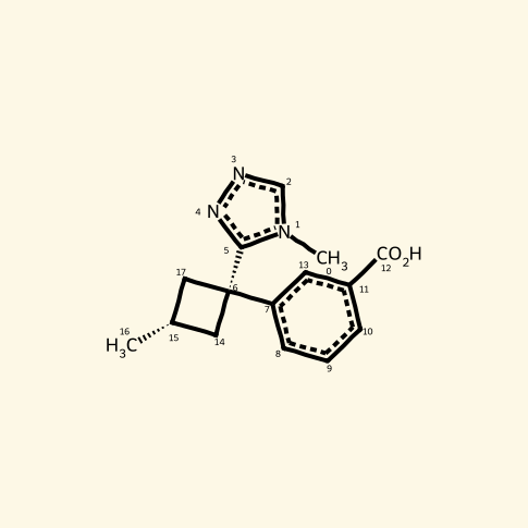 Cn1cnnc1[C@]1(c2cccc(C(=O)O)c2)C[C@H](C)C1